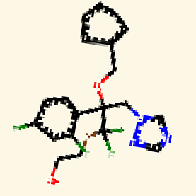 OCCSC(F)(F)C(Cn1cncn1)(OCc1ccccc1)c1ccc(F)cc1F